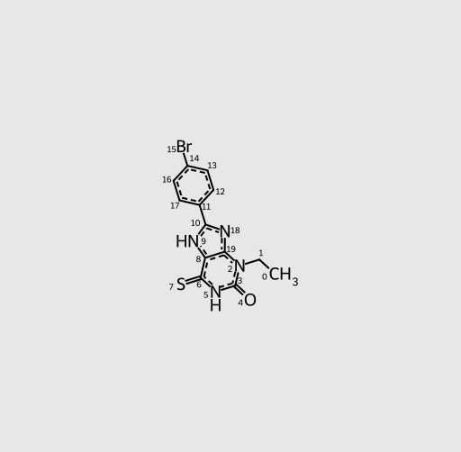 CCn1c(=O)[nH]c(=S)c2[nH]c(-c3ccc(Br)cc3)nc21